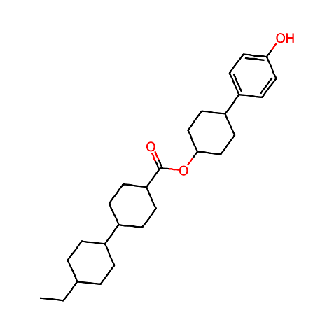 CCC1CCC(C2CCC(C(=O)OC3CCC(c4ccc(O)cc4)CC3)CC2)CC1